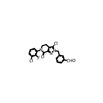 O=Cc1cccc(Cn2nc3c(c2Cl)CCN(c2cccc(Cl)c2F)C3=O)c1